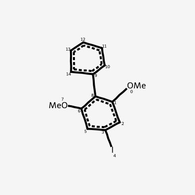 COc1cc(I)cc(OC)c1-c1ccccc1